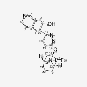 Oc1cc2cnccc2cc1-c1ccc(O[C@@H]2C[C@H]3CCC[C@H](N3)[C@@H]2F)nn1